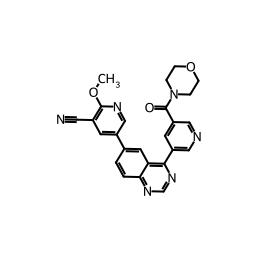 COc1ncc(-c2ccc3ncnc(-c4cncc(C(=O)N5CCOCC5)c4)c3c2)cc1C#N